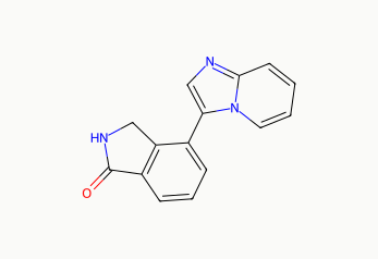 O=C1NCc2c1cccc2-c1cnc2ccccn12